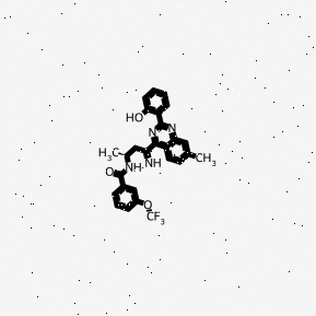 Cc1ccc2c(C(=N)C[C@@H](C)NC(=O)c3cccc(OC(F)(F)F)c3)nc(-c3ccccc3O)nc2c1